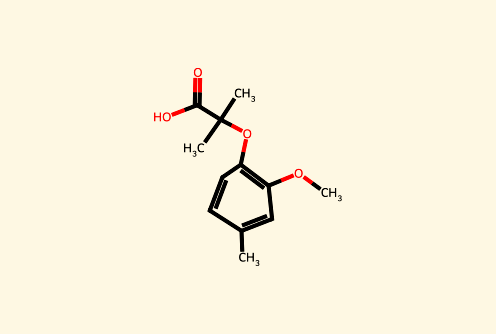 COc1cc(C)ccc1OC(C)(C)C(=O)O